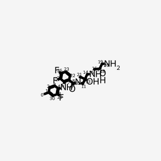 Cc1ccc(Nc2c(C(=O)N3CC(O)(CNCC(O)CN)C3)ccc(F)c2F)c(F)c1